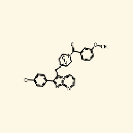 COc1cccc(C(=O)N2CC3CCC2CN3Cc2c(-c3ccc(Cl)cc3)nc3ncccn23)c1